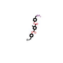 CCC(C)Cc1ccc(OC(=O)c2ccc(C(=O)Oc3ccc(CP)cc3)c(C)c2)cc1